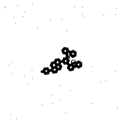 Cc1ccc(-c2ccc3ccc4c(-c5cc(-c6cccc7c6oc6ccccc67)cc(-n6c7ccccc7c7ccccc76)c5)ccc5ccc2c3c54)cc1